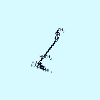 C=C(CCCCCCCCCCCCCCN1CCN(c2ncc(CC)cn2)CC1)NCCCCn1nc(-c2ccc3c(c2)N=C(N)C3)/c(=C(/C)N)c1=C